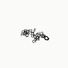 O=P(O)(O)CP(=O)(O)OC[C@H]1O[C@@H](n2cnc3c(NCc4ccccc4Cl)nc(Cl)nc32)[C@@H](F)[C@@H]1O